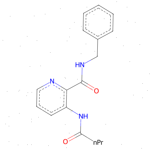 CCCC(=O)Nc1cccnc1C(=O)NCc1ccccc1